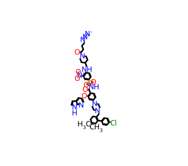 CC1(C)CCC(CN2CCN(c3ccc(C(=O)NS(=O)(=O)c4ccc(NCC5CCN(C(=O)CCCN=[N+]=[N-])CC5)c([N+](=O)[O-])c4)c(Oc4cnc5[nH]ccc5c4)c3)CC2)=C(c2ccc(Cl)cc2)C1